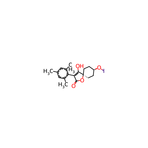 Cc1cc(C)c(C2=C(O)[C@]3(CC[C@H](OI)CC3)OC2=O)c(C)c1